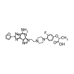 CC(Oc1ccc(N2CCN(CCn3cnc4c3nc(N)n3nc(-c5ccco5)nc43)CC2)c(F)c1)C(=O)O